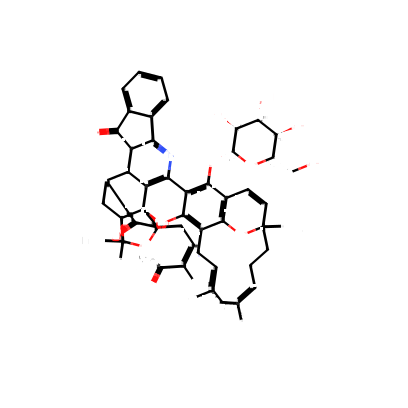 COC(=O)/C(C)=C\CC12OC(C)(C)C3CC(C1=O)C1C4=C(N=C5c6ccccc6C(=O)C51)c1c(O[C@H]5O[C@@H](CO)[C@H](O)[C@@H](O)[C@@H]5O)c5c(c(CC=C(C)C)c1OC432)OC(C)(CCC=C(C)C)C=C5